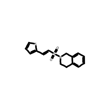 O=S(=O)(C=Cc1cccs1)N1CCc2ccccc2C1